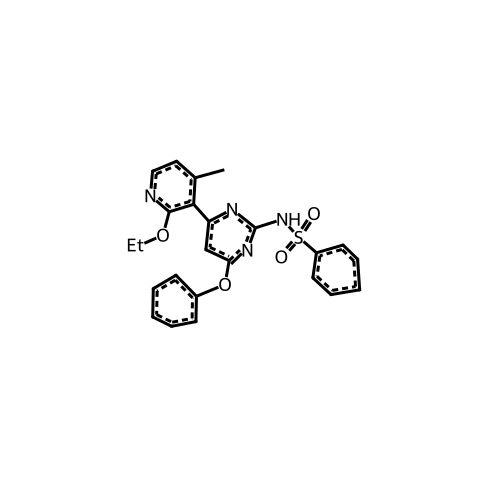 CCOc1nccc(C)c1-c1cc(Oc2ccccc2)nc(NS(=O)(=O)c2ccccc2)n1